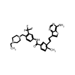 CCN1CCN(Cc2ccc(NC(=O)c3ccc(C)c(/C=C/c4csc5c(N)ncnc45)c3)cc2C(F)(F)F)CC1